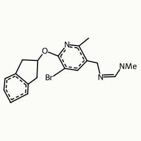 CN/C=N\Cc1cc(Br)c(OC2Cc3ccccc3C2)nc1C